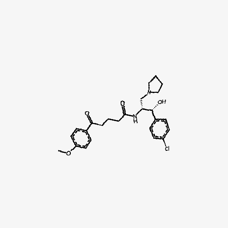 COc1ccc(C(=O)CCCC(=O)N[C@H](CN2CCCC2)[C@H](O)c2ccc(Cl)cc2)cc1